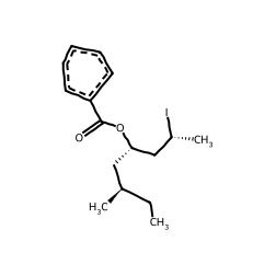 CC[C@@H](C)C[C@@H](C[C@@H](C)I)OC(=O)c1ccccc1